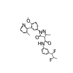 COc1ccc(N2N=C(C)C(C(=O)Nc3cccc(C(F)C(C)F)c3)C2=O)cc1-c1ncccc1C